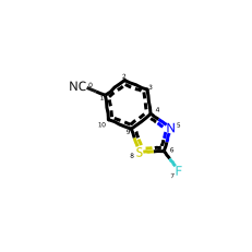 N#Cc1ccc2nc(F)sc2c1